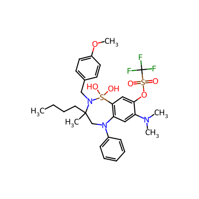 CCCCC1(C)CN(c2ccccc2)c2cc(N(C)C)c(OS(=O)(=O)C(F)(F)F)cc2S(O)(O)N1Cc1ccc(OC)cc1